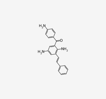 Nc1ccc(C(=O)c2cc(N)cc(C=Cc3ccccc3)c2N)cc1